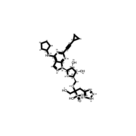 O=P(O)(O)C(CO)(Cc1nn[nH]n1)OC[C@H]1O[C@@H](n2ncc3c(NC4CCCC4)nc(C#CC4CC4)nc32)[C@H](O)[C@@H]1O